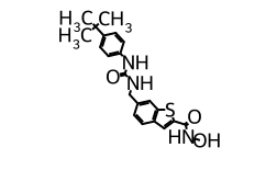 CC(C)(C)c1ccc(NC(=O)NCc2ccc3cc(C(=O)NO)sc3c2)cc1